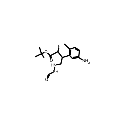 Cc1ccc(N)cc1C(CNBC=O)C(F)C(=O)OC(C)(C)C